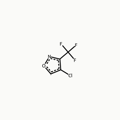 FC(F)(F)c1no[c]c1Cl